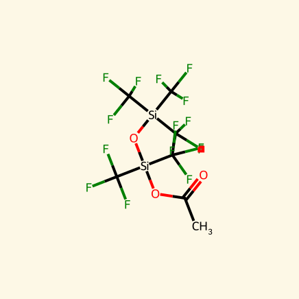 CC(=O)O[Si](O[Si](C(F)(F)F)(C(F)(F)F)C(F)(F)F)(C(F)(F)F)C(F)(F)F